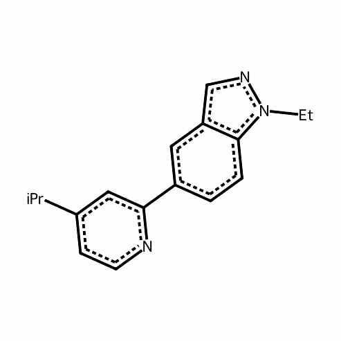 CCn1ncc2cc(-c3cc(C(C)C)ccn3)ccc21